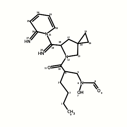 CCCCC(CN(O)C=O)C(=O)N1CC2(CC2)CC1C(=N)n1ccccc1=N